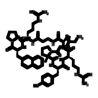 CC(C)[C@@H](NC(=O)[C@H](CCCNC(=N)N)NC(=O)[C@H](Cc1ccc(O)cc1)NC(=O)[C@]1(C)CCCN1C(=O)CNC(=O)CN)C(=O)NCCC(=O)N[C@@H](CCCNC(=N)N)C(=O)N[C@H](Cc1ccc2ccccc2c1)C(=O)N1CCC[C@H]1C(=O)O